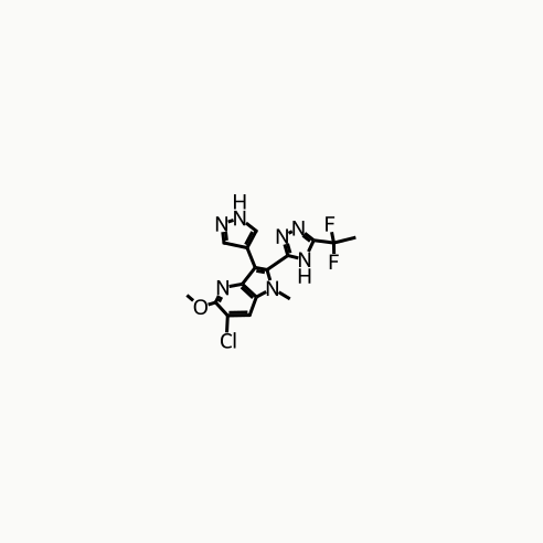 COc1nc2c(-c3cn[nH]c3)c(-c3nnc(C(C)(F)F)[nH]3)n(C)c2cc1Cl